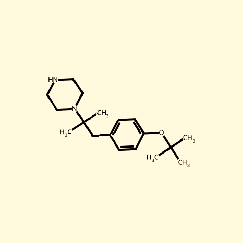 CC(C)(C)Oc1ccc(CC(C)(C)N2CCNCC2)cc1